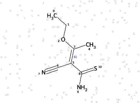 CCO/C(C)=C(\C#N)C(N)=S